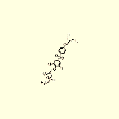 CCS(=O)(=O)C[C@@H](C)COc1c(Cl)cc(S(=O)(=O)c2ccc(OC[C@@H](C)CCl)cc2)cc1Cl